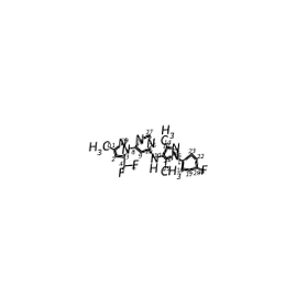 Cc1cc(C(F)F)n(-c2cc(Nc3c(C)nn(-c4ccc(F)cc4)c3C)ncn2)n1